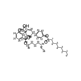 CCCCCCCCC(=O)Oc1ccc(C2C=CC(C(=O)O)(c3ccccc3C(=O)OC(C)CCCCCC)C=C2)cc1